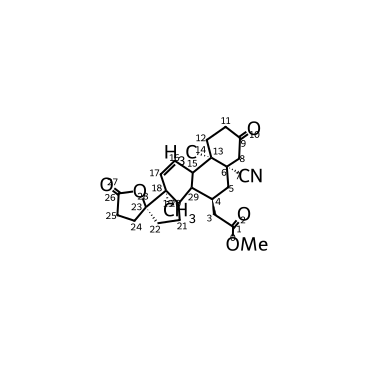 COC(=O)C[C@@H]1C[C@]2(C#N)CC(=O)CC[C@]2(C)C2C=C[C@@]3(C)C(CC[C@@]34CCC(=O)O4)C21